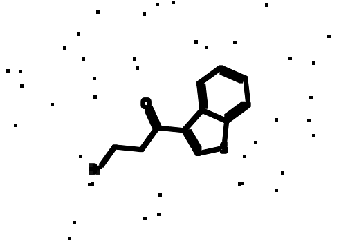 O=C(CCBr)c1csc2ccccc12